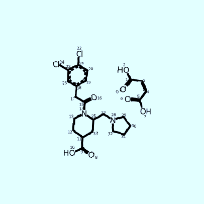 O=C(O)/C=C\C(=O)O.O=C(O)C1CCN(C(=O)Cc2ccc(Cl)c(Cl)c2)C(CN2CCCC2)C1